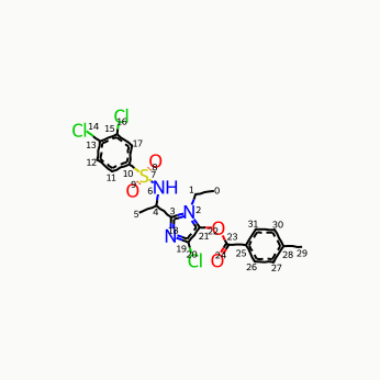 CCn1c(C(C)NS(=O)(=O)c2ccc(Cl)c(Cl)c2)nc(Cl)c1OC(=O)c1ccc(C)cc1